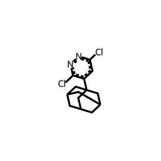 Clc1cc(C23CC4CC(CC(C4)C2)C3)c(Cl)nn1